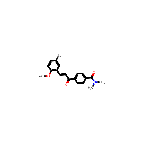 CCCOc1ccc(CC)cc1C=CC(=O)c1ccc(C(=O)N(C)C)cc1